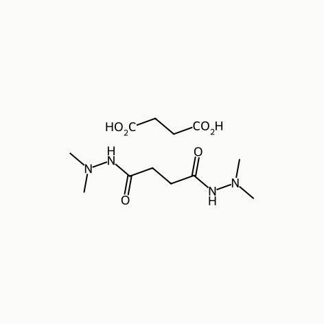 CN(C)NC(=O)CCC(=O)NN(C)C.O=C(O)CCC(=O)O